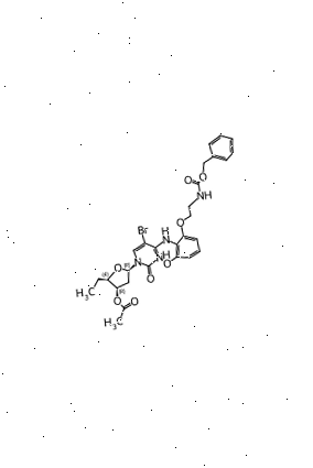 CC[C@H]1O[C@@H](n2cc(Br)c(Nc3c(O)cccc3OCCNC(=O)OCc3ccccc3)nc2=O)C[C@H]1OC(C)=O